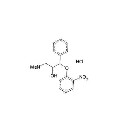 CNCC(O)C(Oc1ccccc1[N+](=O)[O-])c1ccccc1.Cl